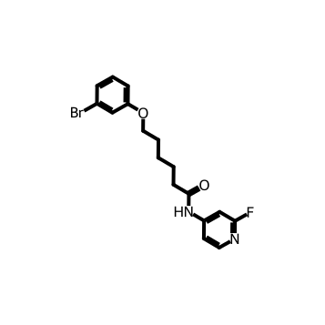 O=C(CCCCCOc1cccc(Br)c1)Nc1ccnc(F)c1